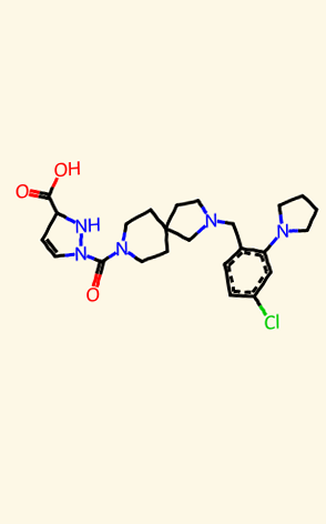 O=C(O)C1C=CN(C(=O)N2CCC3(CCN(Cc4ccc(Cl)cc4N4CCCC4)C3)CC2)N1